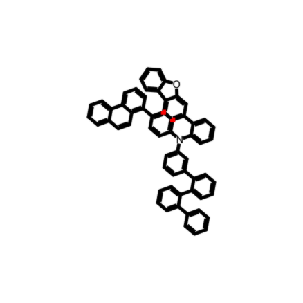 c1ccc(-c2ccccc2-c2ccccc2-c2cccc(N(c3ccc(-c4cccc5c4ccc4ccccc45)cc3)c3ccccc3-c3ccc4c(c3)oc3ccccc34)c2)cc1